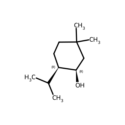 CC(C)[C@H]1CCC(C)(C)C[C@H]1O